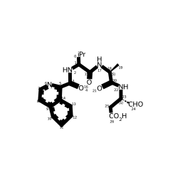 CC(C)C(NC(=O)c1nccc2ccccc12)C(=O)N[C@@H](C)C(=O)N[C@H](C=O)CC(=O)O